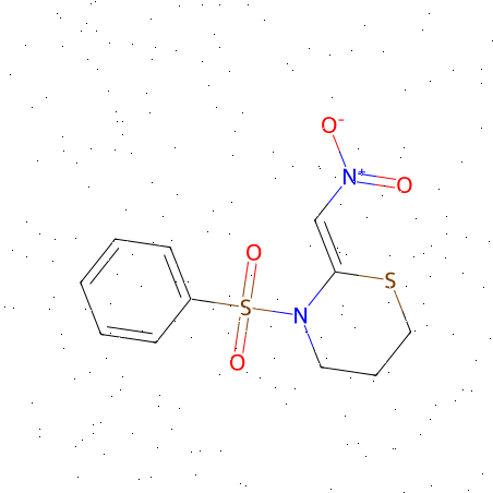 O=[N+]([O-])/C=C1\SCCCN1S(=O)(=O)c1ccccc1